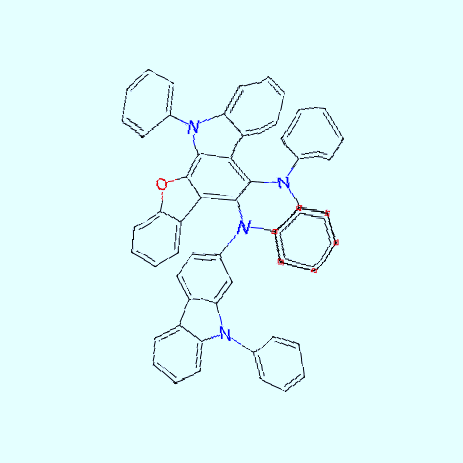 c1ccc(N(c2ccc3c4ccccc4n(-c4ccccc4)c3c2)c2c(N(c3ccccc3)c3ccccc3)c3c4ccccc4n(-c4ccccc4)c3c3oc4ccccc4c23)cc1